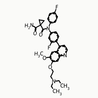 CCN(CC)CCOc1cc2nccc(-c3ccc(N(C(=O)C4(C(N)=O)CC4)c4ccc(F)cc4)cc3F)c2cc1OC